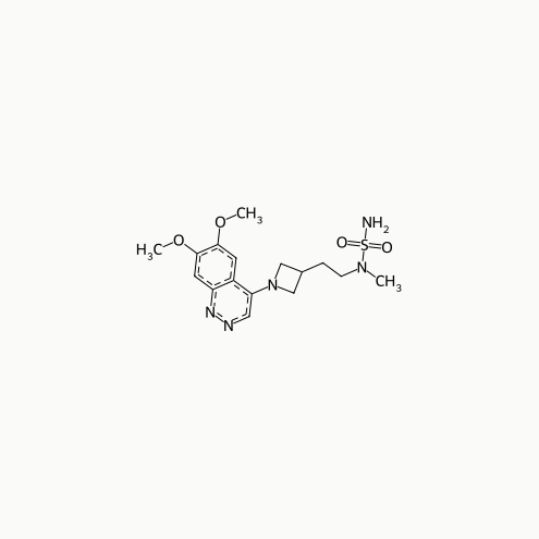 COc1cc2nncc(N3CC(CCN(C)S(N)(=O)=O)C3)c2cc1OC